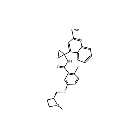 COc1cc(C2(NC(=O)c3cc(OC[C@@H]4CCN4C)ccc3C)CC2)c2ccccc2n1